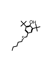 CCCCCSCc1cc(C(C)(C)C)c(O)c(C(C)(C)C)c1